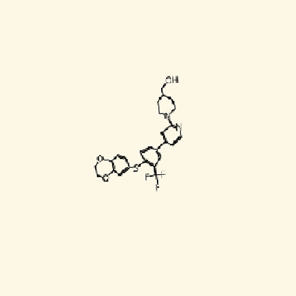 OCC1CCN(c2cc(-c3ccc(Sc4ccc5c(c4)OCCO5)c(C(F)(F)F)c3)ccn2)CC1